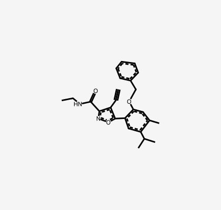 C#Cc1c(C(=O)NCC)noc1-c1cc(C(C)C)c(C)cc1OCc1ccccc1